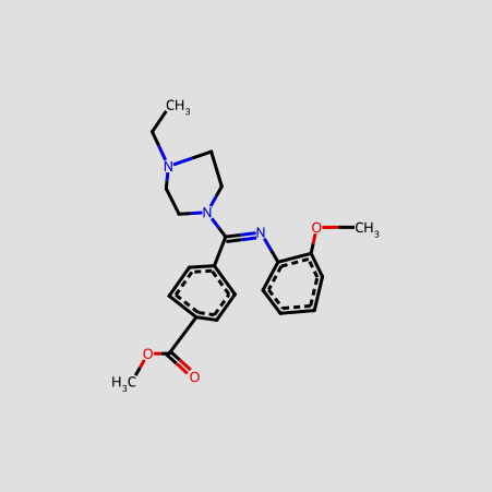 CCN1CCN(C(=Nc2ccccc2OC)c2ccc(C(=O)OC)cc2)CC1